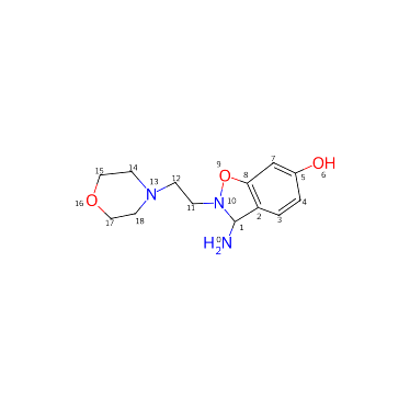 NC1c2ccc(O)cc2ON1CCN1CCOCC1